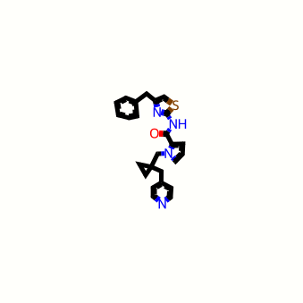 O=C(Nc1nc(Cc2ccccc2)cs1)c1cccn1CC1(Cc2ccncc2)CC1